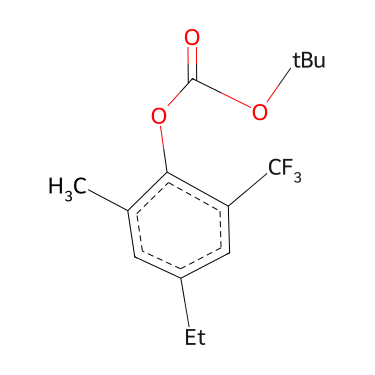 CCc1cc(C)c(OC(=O)OC(C)(C)C)c(C(F)(F)F)c1